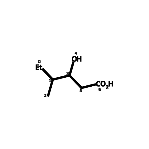 CCC(C)C(O)CC(=O)O